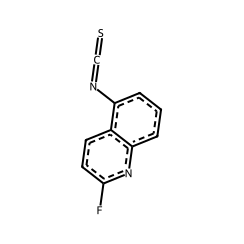 Fc1ccc2c(N=C=S)cccc2n1